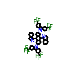 FC(F)(F)c1ccc2c(c1)c1cc(C(F)(F)F)ccc1n2-c1ccc2c(-c3nccc4ccccc34)c3cc(-n4c5ccc(C(F)(F)F)cc5c5cc(C(F)(F)F)ccc54)ccc3c(-c3nccc4ccccc34)c2c1